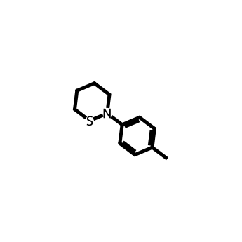 Cc1ccc(N2CCCCS2)cc1